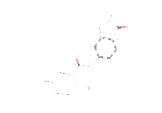 CC(C)[C@@H]1CC[C@@H](C)C[C@H]1C(=O)Nc1ccc2c(c1)CCC2=O